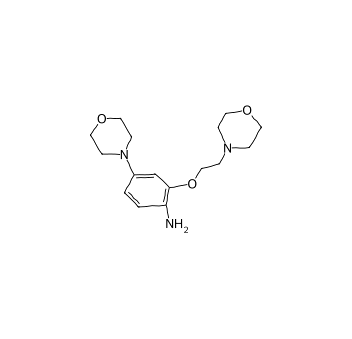 Nc1ccc(N2CCOCC2)cc1OCCN1CCOCC1